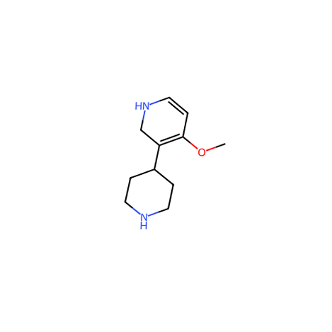 COC1=C(C2CCNCC2)CNC=C1